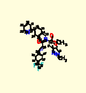 COC(=O)C(Cc1ccn(C)n1)N(Cc1ccc(-c2ccccn2)cc1)C(=O)/C=C/c1ccc(C(F)(F)F)cc1